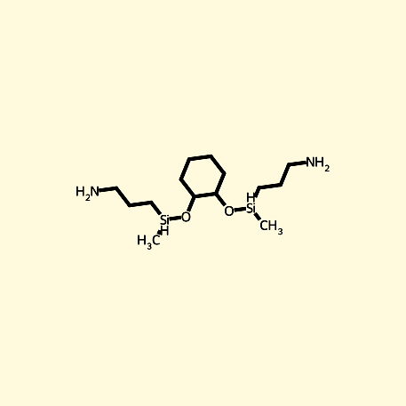 C[SiH](CCCN)OC1CCCCC1O[SiH](C)CCCN